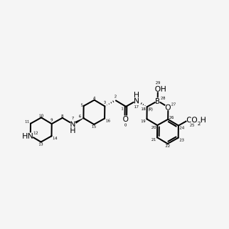 O=C(C[C@H]1CC[C@H](NCC2CCNCC2)CC1)N[C@H]1Cc2cccc(C(=O)O)c2OB1O